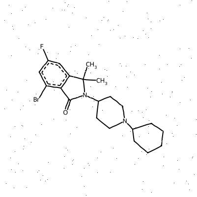 CC1(C)c2cc(F)cc(Br)c2C(=O)N1C1CCN(C2CCCCC2)CC1